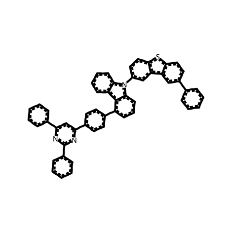 c1ccc(-c2ccc3sc4ccc(-n5c6ccccc6c6c(-c7ccc(-c8cc(-c9ccccc9)nc(-c9ccccc9)n8)cc7)cccc65)cc4c3c2)cc1